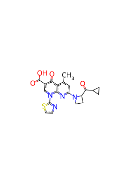 Cc1cc(N2CCC2C(=O)C2CC2)nc2c1c(=O)c(C(=O)O)cn2-c1nccs1